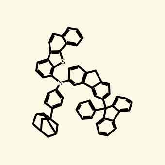 c1ccc(C2(c3ccc4c(c3)-c3cc(N(c5ccc(C67CC8CC(CC(C8)C6)C7)cc5)c5cccc6c5sc5c7ccccc7ccc65)ccc3C4)c3ccccc3-c3ccccc32)cc1